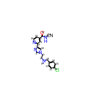 CN(CCn1cnc(-c2cc(C(=O)NC#N)ccn2)c1)Cc1ccc(Cl)cc1